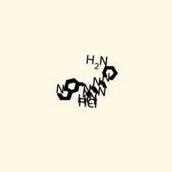 Cl.Cl.N[C@@H]1CCCN(c2cnc3nnn(Cc4ccc5ncccc5c4)c3n2)C1